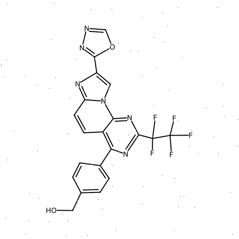 OCc1ccc(-c2nc(C(F)(F)C(F)(F)F)nc3c2ccc2nc(-c4nnco4)cn23)cc1